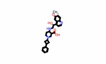 COc1ccc2nccc([C@H](O)CNC3CCN(C4CC(c5ccccc5)C4)CC3C(=O)O)c2c1